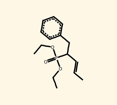 C/C=C/C(Cc1ccccc1)P(=O)(OCC)OCC